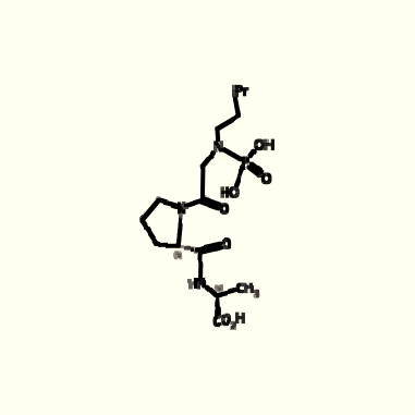 CC(C)CCN(CC(=O)N1CCC[C@H]1C(=O)N[C@@H](C)C(=O)O)P(=O)(O)O